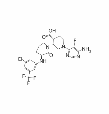 Nc1ncnc(N2CC[C@H](C(=O)O)[C@@H](N3CCC[C@H](Nc4cc(Cl)cc(C(F)(F)F)c4)C3=O)C2)c1F